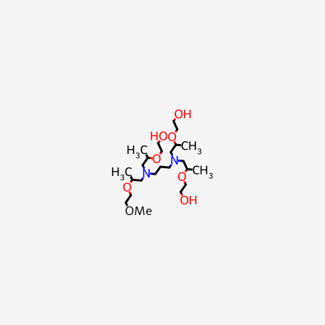 COCCOC(C)CN(CCCN(CC(C)OCCO)CC(C)OCCO)CC(C)OCCO